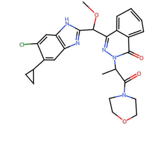 COC(c1nc2cc(C3CC3)c(Cl)cc2[nH]1)c1nn(C(C)C(=O)N2CCOCC2)c(=O)c2ccccc12